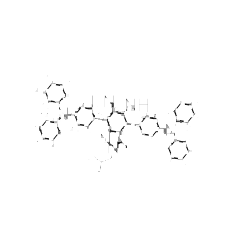 CC(C)Cn1nc2c(-c3ccc(N(c4ccccc4)c4ccccc4)cc3)c(N)c(N)c(-c3ccc(N(c4ccccc4)c4ccccc4)cc3)c2n1